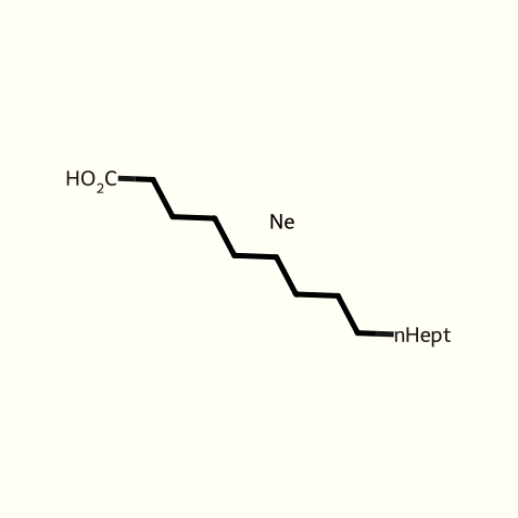 CCCCCCCCCCCCCCCC(=O)O.[Ne]